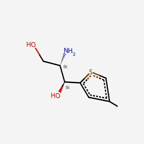 Cc1csc([C@@H](O)[C@@H](N)CO)c1